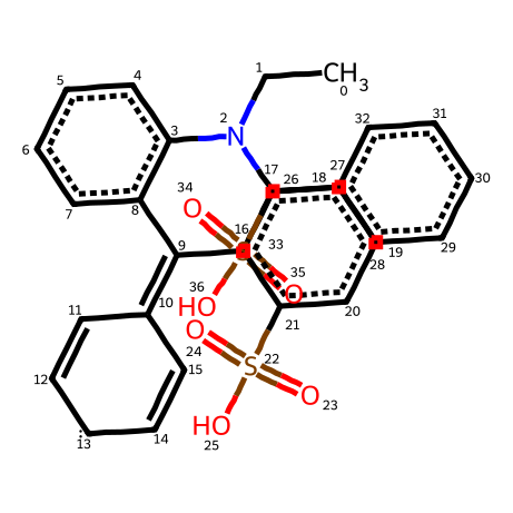 CCN(c1ccccc1C(=C1C=C[C]C=C1)c1ccccc1S(=O)(=O)O)C(c1ccccc1)S(=O)(=O)O